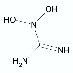 N=C(N)N(O)O